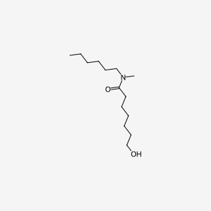 CCCCCCN(C)C(=O)CCCCCCO